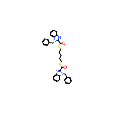 O=C(SCCCCCSC(=O)c1nc2ccccc2n1Cc1ccccc1)c1nc2ccccc2n1Cc1ccccc1